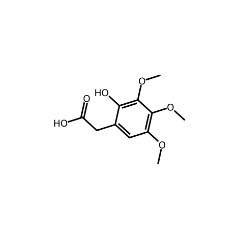 COc1cc(CC(=O)O)c(O)c(OC)c1OC